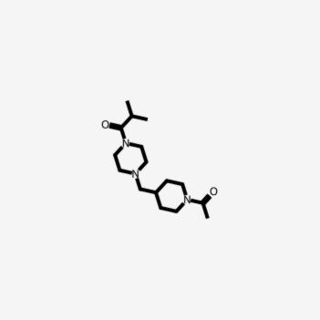 CC(=O)N1CCC(CN2CCN(C(=O)C(C)C)CC2)CC1